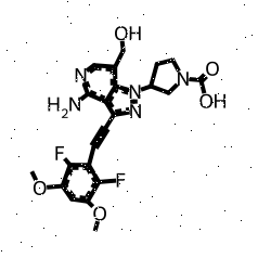 COc1cc(OC)c(F)c(C#Cc2nn(C3CCN(C(=O)O)C3)c3c(CO)cnc(N)c23)c1F